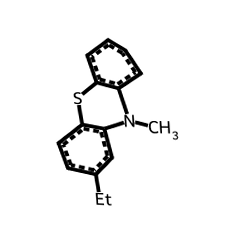 CCc1ccc2c(c1)N(C)c1ccccc1S2